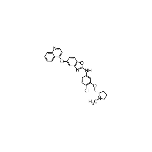 CN1CCC[C@H]1COc1cc(Nc2nc3cc(Oc4ccnc5ccccc45)ccc3o2)ccc1Cl